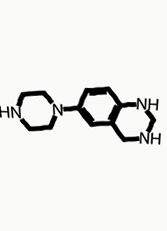 c1cc2c(cc1N1CCNCC1)CNCN2